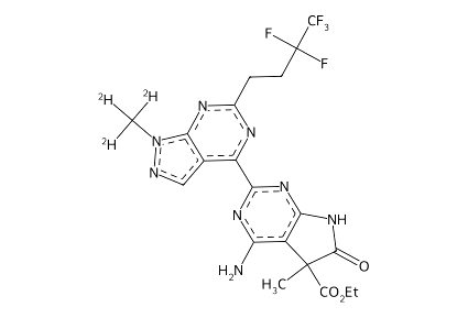 [2H]C([2H])([2H])n1ncc2c(-c3nc(N)c4c(n3)NC(=O)C4(C)C(=O)OCC)nc(CCC(F)(F)C(F)(F)F)nc21